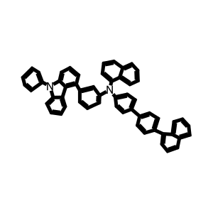 c1ccc(-n2c3ccccc3c3c(-c4cccc(N(c5ccc(-c6ccc(-c7cccc8ccccc78)cc6)cc5)c5cccc6ccccc56)c4)cccc32)cc1